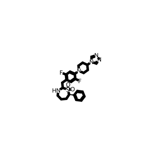 O=S1(=O)C(Cc2cc(F)c(N3CCC(n4cnnc4)CC3)cc2F)NCCC[C@@H]1c1ccccc1